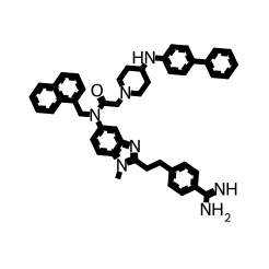 Cn1c(CCc2ccc(C(=N)N)cc2)nc2cc(N(Cc3cccc4ccccc34)C(=O)CN3CCC(Nc4ccc(-c5ccccc5)cc4)CC3)ccc21